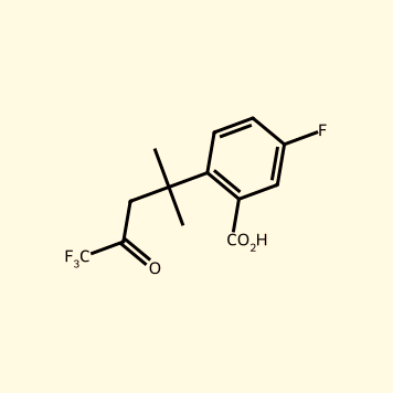 CC(C)(CC(=O)C(F)(F)F)c1ccc(F)cc1C(=O)O